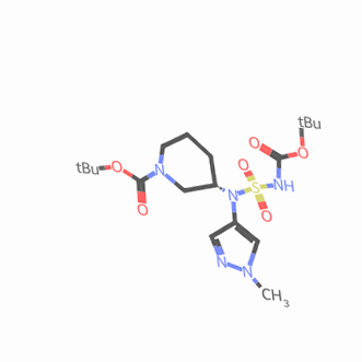 Cn1cc(N([C@H]2CCCN(C(=O)OC(C)(C)C)C2)S(=O)(=O)NC(=O)OC(C)(C)C)cn1